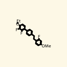 CCOc1ccc(-c2ccc(CCc3ccc(OC)cc3F)cc2)c(F)c1F